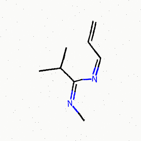 C=C/C=N\C(=N/C)C(C)C